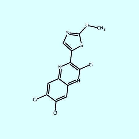 COc1ncc(-c2nc3cc(Cl)c(Cl)cc3nc2Cl)s1